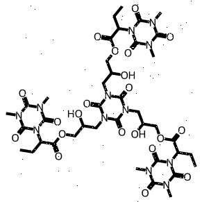 CCC(C(=O)OCC(O)Cn1c(=O)n(CC(O)COC(=O)C(CC)n2c(=O)n(C)c(=O)n(C)c2=O)c(=O)n(CC(O)COC(=O)C(CC)n2c(=O)n(C)c(=O)n(C)c2=O)c1=O)n1c(=O)n(C)c(=O)n(C)c1=O